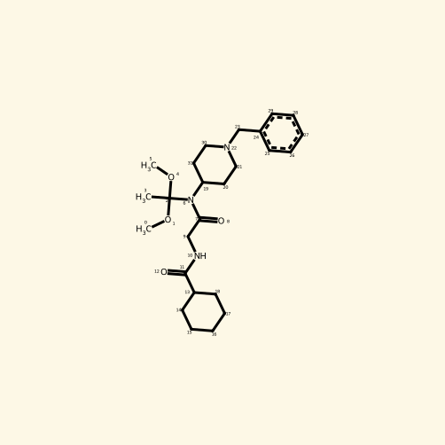 COC(C)(OC)N(C(=O)CNC(=O)C1CCCCC1)C1CCN(Cc2ccccc2)CC1